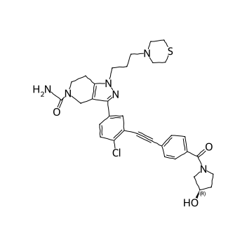 NC(=O)N1CCc2c(c(-c3ccc(Cl)c(C#Cc4ccc(C(=O)N5CC[C@@H](O)C5)cc4)c3)nn2CCCN2CCSCC2)C1